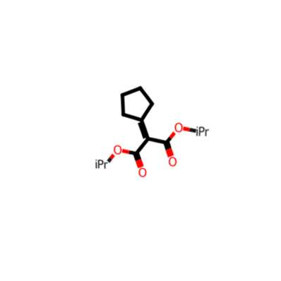 CC(C)OC(=O)C(C(=O)OC(C)C)=C1CCCC1